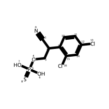 N#CC(COP(O)(O)=S)c1ccc(Cl)cc1Cl